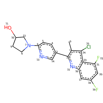 Cc1c(-c2ccc(N3CCC(O)C3)nc2)nc2cc(F)cc(F)c2c1Cl